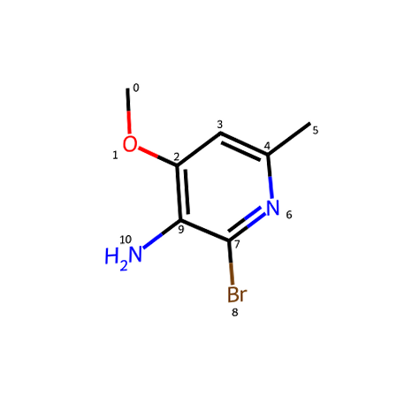 COc1cc(C)nc(Br)c1N